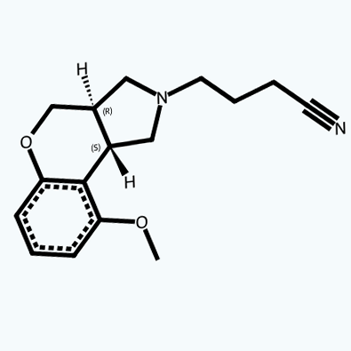 COc1cccc2c1[C@H]1CN(CCCC#N)C[C@@H]1CO2